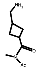 CC(=O)N(C)C(=O)C1CC(CN)C1